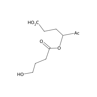 CC(=O)C(CCC(=O)O)OC(=O)CCCO